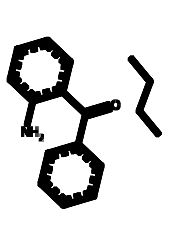 CCCC.Nc1ccccc1C(=O)c1ccccc1